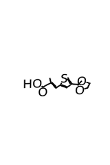 C/C(=C\c1cc(C2OCCO2)cs1)C(=O)O